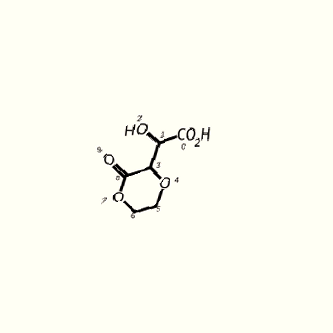 O=C(O)C(O)C1OCCOC1=O